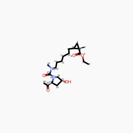 CCOC(=O)[C@@]1(C)CC1CCCCCCN(C)C(=O)N1C[C@@H](O)C[C@H]1C(C)=O